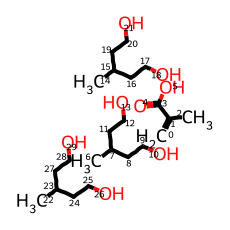 C=C(C)C(=O)O.CC(CCO)CCO.CC(CCO)CCO.CC(CCO)CCO